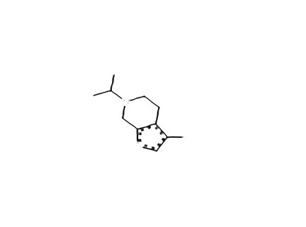 CC(C)N1CCc2c(O)coc2C1